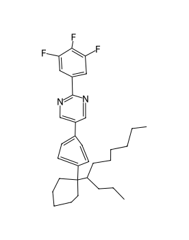 CCCCCCC(CCC)C1(c2ccc(-c3cnc(-c4cc(F)c(F)c(F)c4)nc3)cc2)CCCCC1